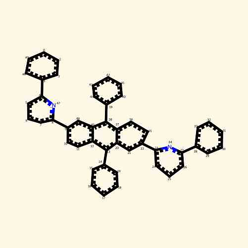 c1ccc(-c2cccc(-c3ccc4c(-c5ccccc5)c5cc(-c6cccc(-c7ccccc7)n6)ccc5c(-c5ccccc5)c4c3)n2)cc1